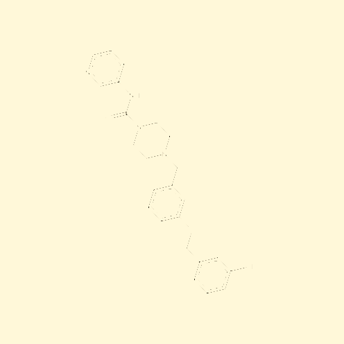 O=C(Nc1cccnc1)N1CCN(Cc2cccc(OCc3cccc(C(F)(F)F)c3)c2)CC1